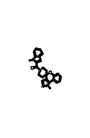 Cn1ncc2c1-c1ccccc1OC21CCN(C(=O)c2cc3ccccc3n2C)CC1